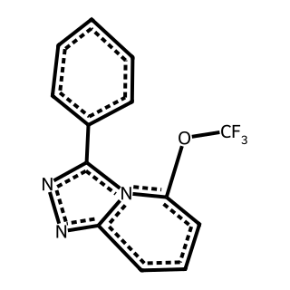 FC(F)(F)Oc1cccc2nnc(-c3ccccc3)n12